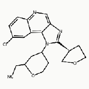 N#CCC1CC(n2c([C@H]3CCOC3)nc3cnc4ccc(Cl)cc4c32)CCO1